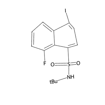 CC(C)(C)NS(=O)(=O)c1ccc(I)c2cccc(F)c12